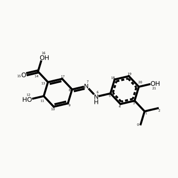 CC(C)c1cc(N/N=C2\C=CC(O)C(C(=O)O)=C2)ccc1O